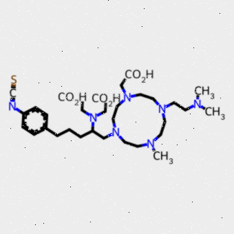 CN(C)CCN1CCN(C)CCN(CC(CCCc2ccc(N=C=S)cc2)N(CC(=O)O)CC(=O)O)CCN(CC(=O)O)CC1